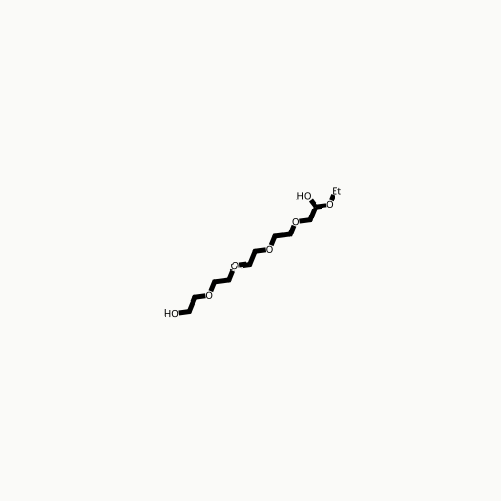 CCOC(O)COCCOCCOCCOCCO